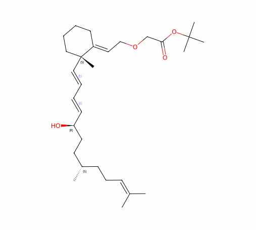 CC(C)=CCC[C@H](C)CC[C@@H](O)/C=C/C=C/[C@]1(C)CCCCC1=CCOCC(=O)OC(C)(C)C